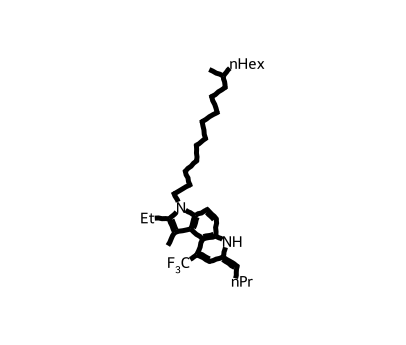 CCC/C=C1\C=C(C(F)(F)F)c2c(ccc3c2c(C)c(CC)n3CCCCCCCCCCC(C)CCCCCC)N1